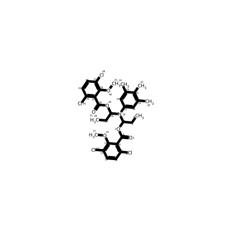 CCC(OC(=O)c1c(Cl)ccc(Cl)c1OC)N(c1cc(C)c(C)c(C)c1)C(CC)OC(=O)c1c(Cl)ccc(Cl)c1OC